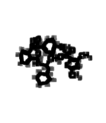 Cc1nc(C)c(S(=O)(=O)Nc2ccc(S(=O)(=O)Nc3ccccc3CN[C@@H](C)CC3CCCCC3)cc2)s1